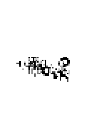 CC(N[S+]([O-])C(C)(C)C)C1(C)CCN(c2cnc3c(I)nn(C4CCCCO4)c3n2)CC1